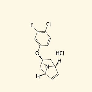 CN1[C@@H]2C=C[C@H]1C[C@H](Oc1ccc(Cl)c(F)c1)C2.Cl